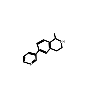 CC1NCCc2cc(-c3cccnc3)ccc21